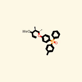 C=CC(OC)[C@@H](C)[C@H](C)Oc1ccc(P(=O)(c2ccccc2)c2ccc(C)cc2)cc1